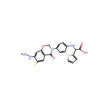 CNc1cc2c(cc1F)C(=O)N(c1ccc(NC(C(=O)O)c3cccs3)cc1)CO2